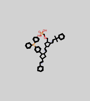 CC(C)(/C=C/C1CC(/C=C/C2CC(/C=C/c3ccccc3)CC2c2ccc(P(c3ccccc3)c3ccccc3)cc2)CC1COCP(=O)(O)O)c1ccccc1